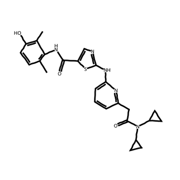 Cc1ccc(O)c(C)c1NC(=O)c1cnc(Nc2cccc(CC(=O)N(C3CC3)C3CC3)n2)s1